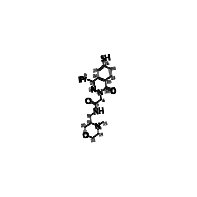 CC(C)c1nn(CC(=O)NCC2COCCN2C)c(=O)c2ccc(S)cc12